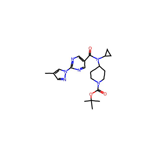 Cc1cnn(-c2ncc(C(=O)N(C3CC3)C3CCN(C(=O)OC(C)(C)C)CC3)cn2)c1